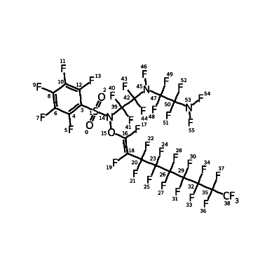 O=S(=O)(c1c(F)c(F)c(F)c(F)c1F)N(OC(F)=C(F)C(F)(F)C(F)(F)C(F)(F)C(F)(F)C(F)(F)C(F)(F)C(F)(F)F)C(F)(F)C(F)(F)N(F)C(F)(F)C(F)(F)N(F)F